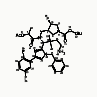 CC(=O)O[C@@H](C)C(=O)N(C[C@@H]1CN(C(=O)OC(C)(C)C)C[C@@H]1F)[C@@H](c1nc(-c2cc(F)ccc2F)cn1Cc1ccccc1)C(C)(C)CCN